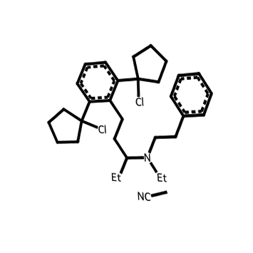 CC#N.CCC(CCc1c(C2(Cl)CCCC2)cccc1C1(Cl)CCCC1)N(CC)CCc1ccccc1